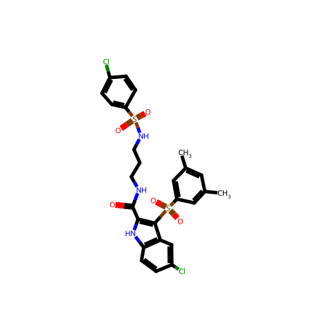 Cc1cc(C)cc(S(=O)(=O)c2c(C(=O)NCCCNS(=O)(=O)c3ccc(Cl)cc3)[nH]c3ccc(Cl)cc23)c1